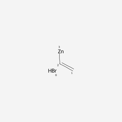 Br.C=[CH][Zn]